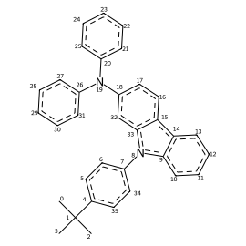 CC(C)(C)c1ccc(-n2c3ccccc3c3ccc(N(c4ccccc4)c4ccccc4)cc32)cc1